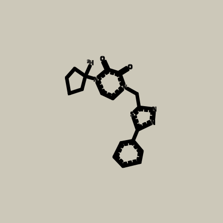 [2H]C1(n2ccn(Cc3nnc(-c4ccccc4)s3)c(=O)c2=O)CCCC1